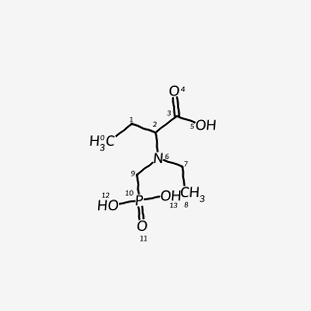 CCC(C(=O)O)N(CC)CP(=O)(O)O